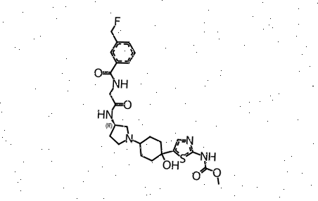 COC(=O)Nc1ncc(C2(O)CCC(N3CC[C@@H](NC(=O)CNC(=O)c4cccc(CF)c4)C3)CC2)s1